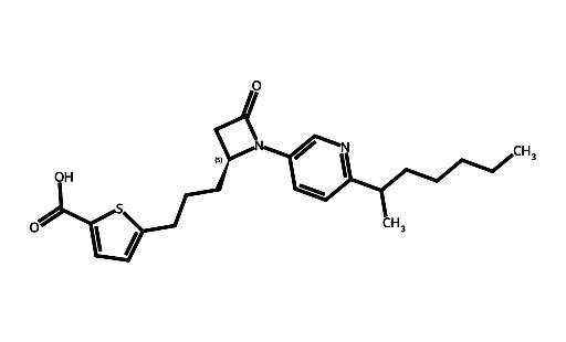 CCCCCC(C)c1ccc(N2C(=O)C[C@@H]2CCCc2ccc(C(=O)O)s2)cn1